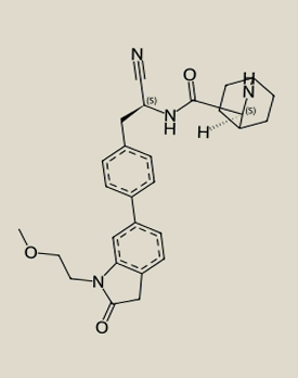 COCCN1C(=O)Cc2ccc(-c3ccc(C[C@@H](C#N)NC(=O)[C@H]4NC5CCC4CC5)cc3)cc21